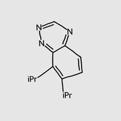 CC(C)c1ccc2ncnnc2c1C(C)C